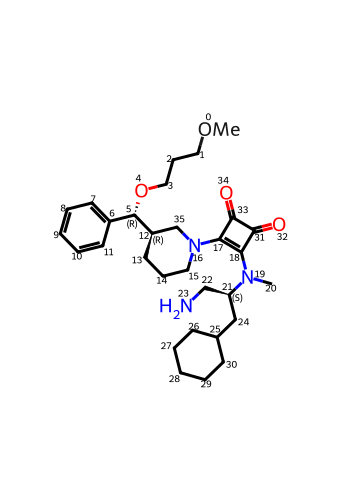 COCCCO[C@@H](c1ccccc1)[C@@H]1CCCN(c2c(N(C)[C@H](CN)CC3CCCCC3)c(=O)c2=O)C1